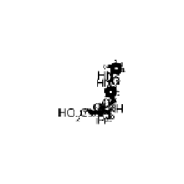 Cc1ccccc1NC(=O)Nc1ccc(CC(=O)NC(CC(C)C)c2cc(C=CC(=O)O)on2)cc1